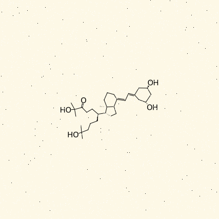 CC(C)(O)CCC[C@@H](CCC(=O)C(C)(C)O)[C@H]1CCC2/C(=C/C=C3C[C@@H](O)C[C@H](O)C3)CCC[C@@]21C